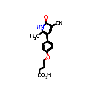 Cc1[nH]c(=O)c(C#N)cc1-c1ccc(OCCCC(=O)O)cc1